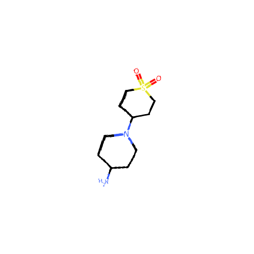 NC1CCN(C2CCS(=O)(=O)CC2)CC1